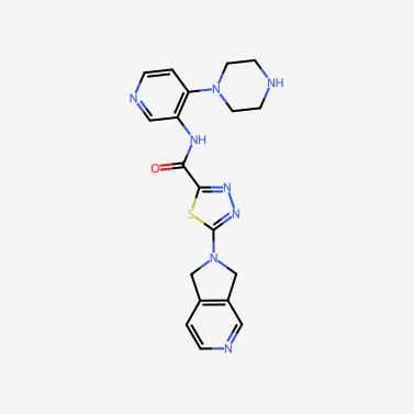 O=C(Nc1cnccc1N1CCNCC1)c1nnc(N2Cc3ccncc3C2)s1